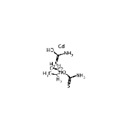 CC.CC.NC(O)=S.NC(O)=S.[Cd]